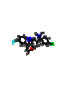 CC1Cc2c([nH]c3ccc(F)cc23)C2(CCC(C(c3ccc(Cl)cc3)N(C)C)CC2)O1